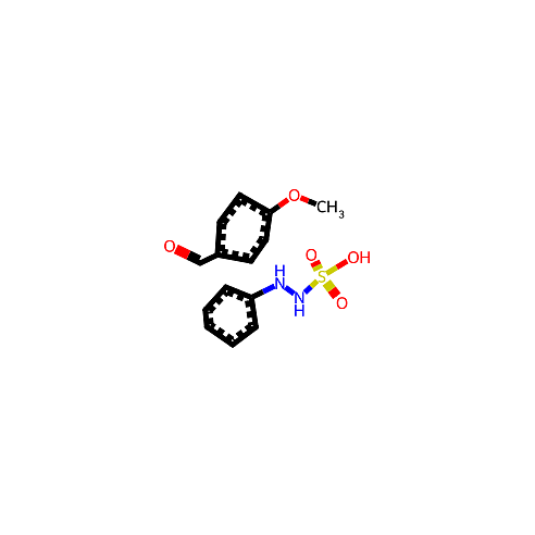 COc1ccc(C=O)cc1.O=S(=O)(O)NNc1ccccc1